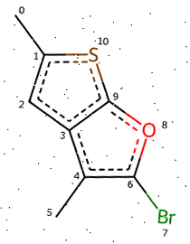 Cc1cc2c(C)c(Br)oc2s1